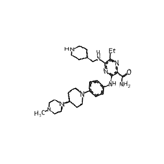 CCc1nc(C(N)=O)c(Nc2ccc(N3CCC(N4CCN(C)CC4)CC3)cc2)nc1NCC1CCNCC1